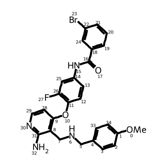 COc1ccc(CNCc2c(Oc3ccc(NC(=O)c4cccc(Br)c4)cc3F)ccnc2N)cc1